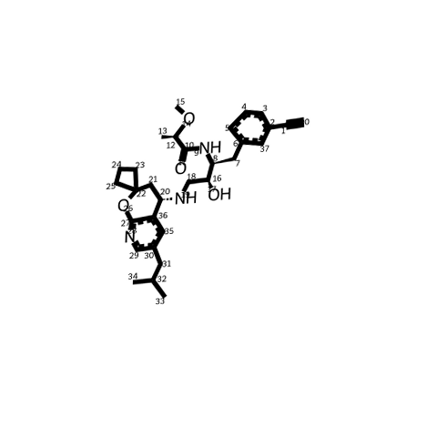 C#Cc1cccc(C[C@H](NC(=O)[C@@H](C)OC)[C@@H](O)CN[C@H]2CC3(CCC3)Oc3ncc(CC(C)C)cc32)c1